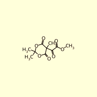 COC(=O)C(=O)C1(C)C(=O)OC(C)(C)OC1=O